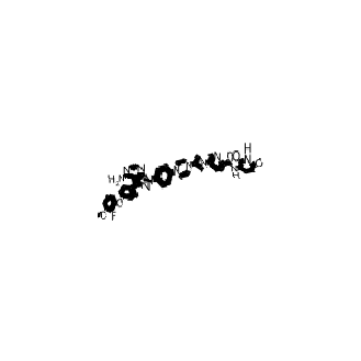 COc1cccc(Oc2ccc(-c3nn(C4CCC(N5CCN(C6CN(c7ccc(C(=O)NC8CCC(=O)NC8=O)nc7)C6)CC5)CC4)c4ncnc(N)c34)cc2)c1F